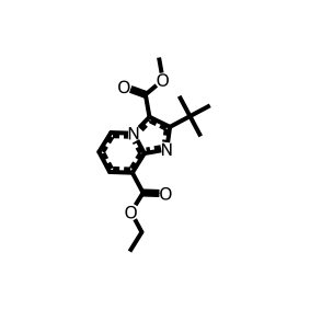 CCOC(=O)c1cccn2c(C(=O)OC)c(C(C)(C)C)nc12